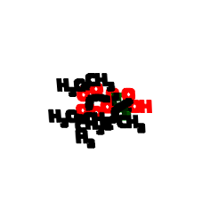 CC(C)C(OC(=O)C1OC(C)(C)OC1C(=O)OC(C)(C)C)C(F)(F)C(=O)O